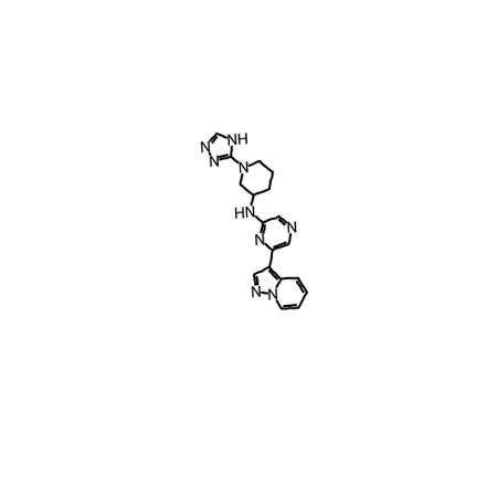 c1ccn2ncc(-c3cncc(NC4CCCN(c5nnc[nH]5)C4)n3)c2c1